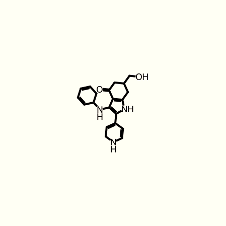 O=C1CC(CO)Cc2[nH]c(C3=CCNC=C3)c(NC3C=CC=CC3)c21